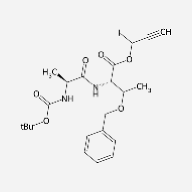 C#CC(I)OC(=O)[C@@H](NC(=O)[C@H](C)NC(=O)OC(C)(C)C)C(C)OCc1ccccc1